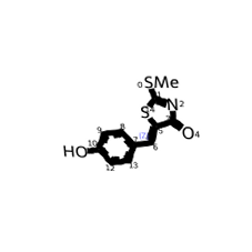 CSC1=NC(=O)/C(=C/c2ccc(O)cc2)S1